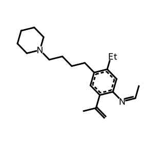 C=C(C)c1cc(CCCCN2CCCCC2)c(CC)cc1/N=C\C